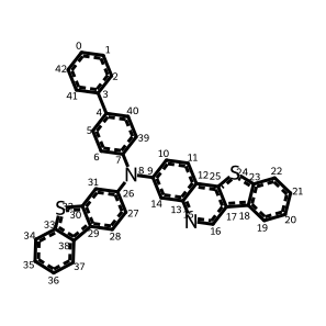 c1ccc(-c2ccc(N(c3ccc4c(c3)ncc3c5ccccc5sc43)c3ccc4c(c3)sc3ccccc34)cc2)cc1